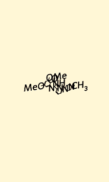 COc1cc(OC)c2c(=O)[nH]c(-c3cccc(N4CCN(C)CC4)n3)nc2c1